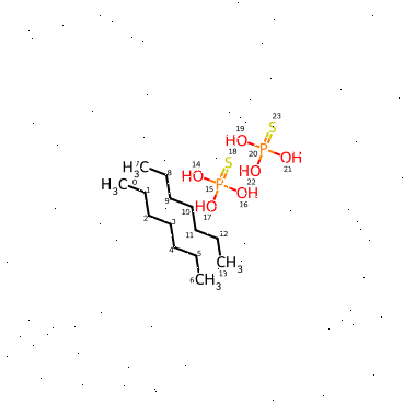 CCCCCCC.CCCCCCC.OP(O)(O)=S.OP(O)(O)=S